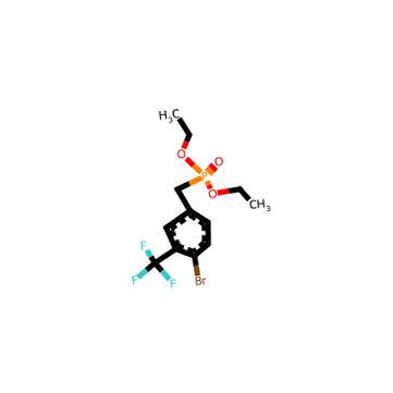 CCOP(=O)(Cc1ccc(Br)c(C(F)(F)F)c1)OCC